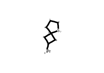 CC(C)C1CC2(CCCS2)C1